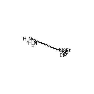 CCO[Si](CCCCCCCCCCCCCCCCCCC(N)CCCN)(OCC)OCC